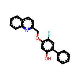 Oc1cc(OCc2ccc3ccccc3n2)c(F)cc1-c1ccccc1